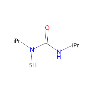 CC(C)NC(=O)N(S)C(C)C